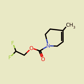 CC1=CCN(C(=O)OCC(F)F)CC1